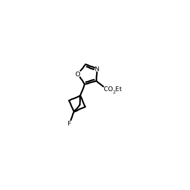 CCOC(=O)c1ncoc1C12CC(F)(C1)C2